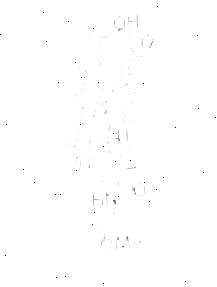 COCCNC(=O)[C@]1(C)CC[C@]2(C)CC[C@]3(C)C4=CC=C5C(=CC(=O)C(O)=C5C)[C@]4(C)CC[C@@]3(C)[C@@H]2C1